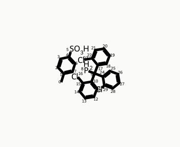 Cc1ccc(S(=O)(=O)O)cc1.PC(c1ccccc1Cl)(c1ccccc1Cl)c1ccccc1Cl